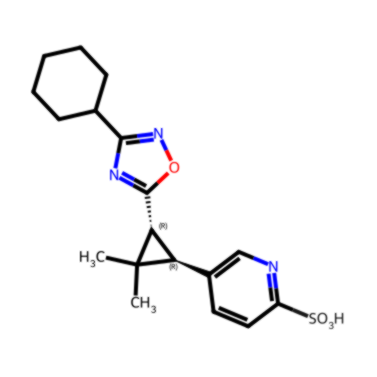 CC1(C)[C@H](c2ccc(S(=O)(=O)O)nc2)[C@H]1c1nc(C2CCCCC2)no1